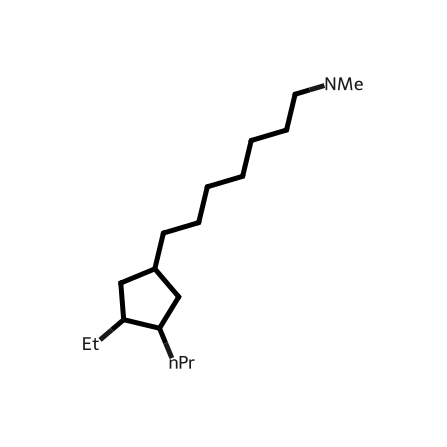 CCCC1CC(CCCCCCCNC)CC1CC